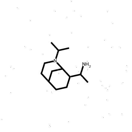 CC(N)C1CCC2CCN(C(C)C)C1C2